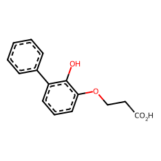 O=C(O)CCOc1cccc(-c2ccccc2)c1O